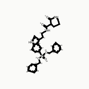 O=C1NCCCC1C(=O)NCCc1c[nH]c2ccc(P(=O)(OCc3ccccc3)OCc3ccccc3)cc12